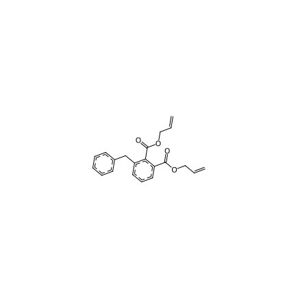 C=CCOC(=O)c1cccc(Cc2ccccc2)c1C(=O)OCC=C